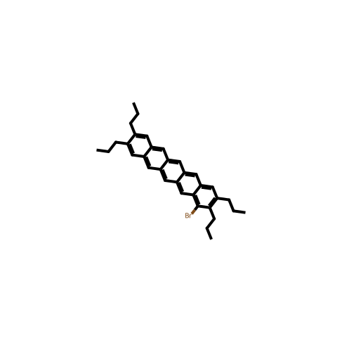 CCCc1cc2cc3cc4cc5cc(CCC)c(CCC)c(Br)c5cc4cc3cc2cc1CCC